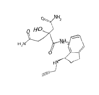 C#CCN[C@@H]1CCc2ccccc21.NC(=O)CC(O)(CC(N)=O)C(N)=O